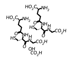 N[C@@H](CCC(=O)N[C@@H](CS)C(=O)NCC(=O)O)C(=O)O.N[C@@H](CCC(=O)N[C@@H](CS)C(=O)NCC(=O)O)C(=O)O.O=C(O)O